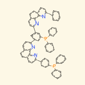 c1ccc(-c2ccc3ccc4ccc(-c5cc(-c6ccc7ccc8ccc(-c9ccc(P(c%10ccccc%10)c%10ccccc%10)cc9)nc8c7n6)cc(P(c6ccccc6)c6ccccc6)c5)nc4c3n2)cc1